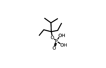 CCC(CC)(OP(=O)(O)O)C(C)C